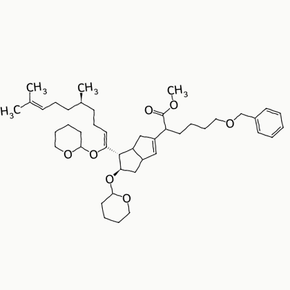 COC(=O)C(CCCCOCc1ccccc1)C1=CC2C[C@@H](OC3CCCCO3)[C@H](C(=CCC[C@H](C)CCC=C(C)C)OC3CCCCO3)C2C1